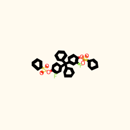 O=S(=O)(Oc1ccc(C(c2ccccc2)(c2ccccc2)c2ccc(OS(=O)(=O)c3ccccc3)c(F)c2)cc1F)c1ccccc1